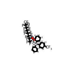 O=S(=O)(OS(c1ccccc1)(c1ccccc1)c1ccc(C(F)(F)F)cc1)C(F)(F)C(F)(F)C(F)(F)C(F)(F)C(F)(F)C(F)(F)C(F)(F)C(F)(F)F